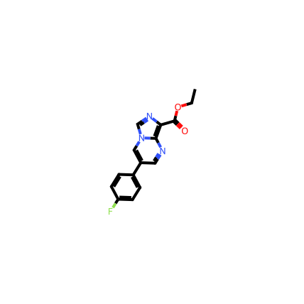 CCOC(=O)c1ncn2cc(-c3ccc(F)cc3)cnc12